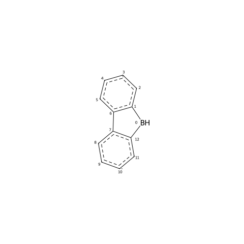 B1c2c[c]ccc2-c2cc[c]cc21